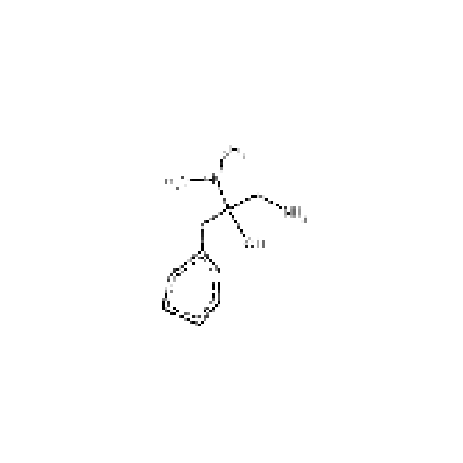 CN(C)C(O)(CN)Cc1ccccc1